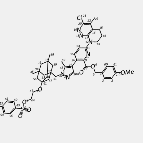 COc1ccc(COC(=O)c2nc(N3CCCc4c3nnc(Cl)c4C)ccc2-c2cnn(CC34CC5(C)CC(C)(C3)CC(OCCOS(=O)(=O)c3ccc(C)cc3)(C5)C4)c2C)cc1